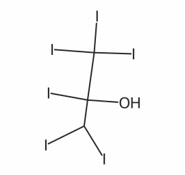 OC(I)(C(I)I)C(I)(I)I